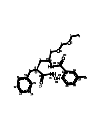 CCOCOC[C@H](C[C@H](Cc1cccnc1)C(=O)NO)NC(=O)c1cccc(C)c1